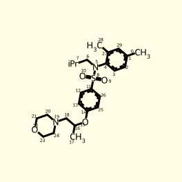 Cc1ccc(N(CC(C)C)S(=O)(=O)c2ccc(OC(C)CN3CCOCC3)cc2)c(C)c1